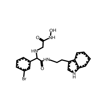 O=C(CNC(C(=O)NCCc1c[nH]c2ccccc12)c1cccc(Br)c1)NO